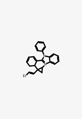 CCC=CC1(C2CC=CC=C2c2nc3ccccc3n2-c2ccccc2)CC1C